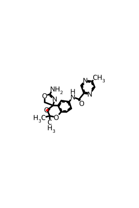 Cc1cnc(C(=O)Nc2ccc3c(c2)C2(COC(N)=N2)C2(COC2)C(C)(C)O3)cn1